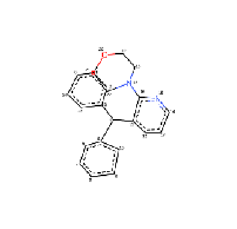 c1ccc(C(c2ccccc2)c2cccnc2N2CCOCC2)cc1